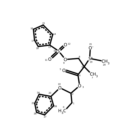 CCC(OC(=O)C(C)(COS(=O)(=O)c1ccccc1)[S+](C)[O-])Oc1ccccc1